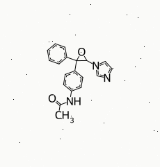 CC(=O)Nc1ccc(C2(c3ccccc3)OC2n2ccnc2)cc1